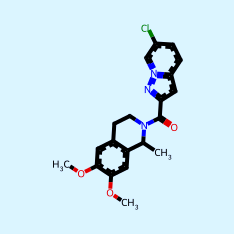 COc1cc2c(cc1OC)C(C)N(C(=O)c1cc3ccc(Cl)cn3n1)CC2